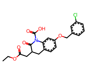 CCOC(=O)CC1Cc2ccc(OCc3cccc(Cl)c3)cc2N(C(=O)O)C1=O